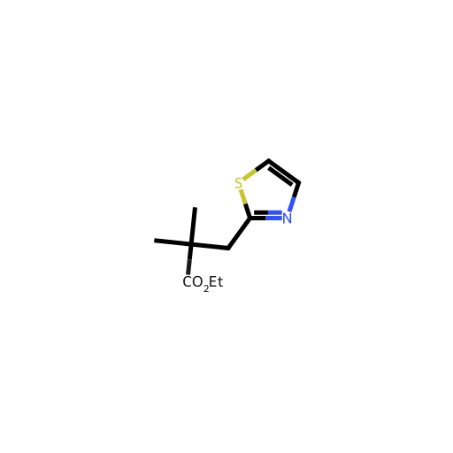 CCOC(=O)C(C)(C)Cc1nccs1